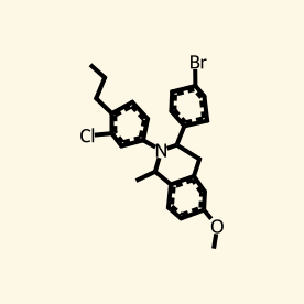 CCCc1ccc(N2C(C)c3ccc(OC)cc3CC2c2ccc(Br)cc2)cc1Cl